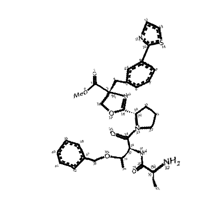 COC(=O)[C@@]1(Cc2cccc(-c3nccs3)c2)COC([C@@H]2CCCN2C(=O)[C@@H](NC(=O)[C@H](C)N)C(C)OCc2ccccc2)=N1